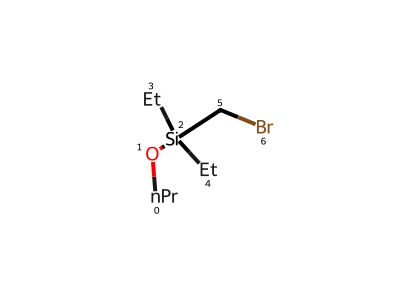 CCCO[Si](CC)(CC)CBr